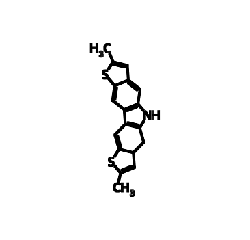 CC1=CC2Cc3[nH]c4cc5cc(C)sc5cc4c3C=C2S1